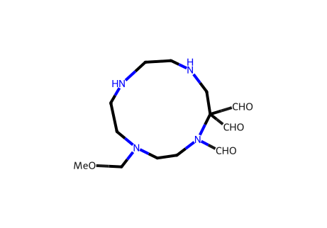 COCN1CCNCCNCC(C=O)(C=O)N(C=O)CC1